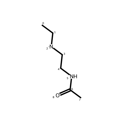 CC[N]CCNC(C)=O